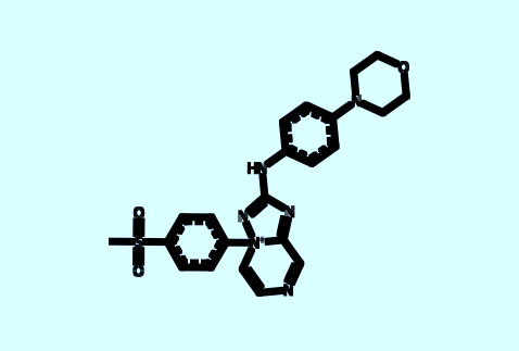 CS(=O)(=O)c1ccc([N+]23C=CN=CC2=NC(Nc2ccc(N4CCOCC4)cc2)=N3)cc1